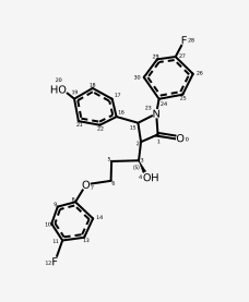 O=C1C([C@@H](O)CCOc2ccc(F)cc2)C(c2ccc(O)cc2)N1c1ccc(F)cc1